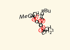 C=C(C)C(=O)Oc1ccc(-c2ccc(OC(=O)C(=C)COC)cc2)c(C2OCC(C3CCC(CCCC)CC3)CO2)c1